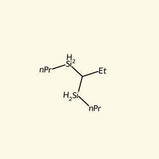 CCC[SiH2]C(CC)[SiH2]CCC